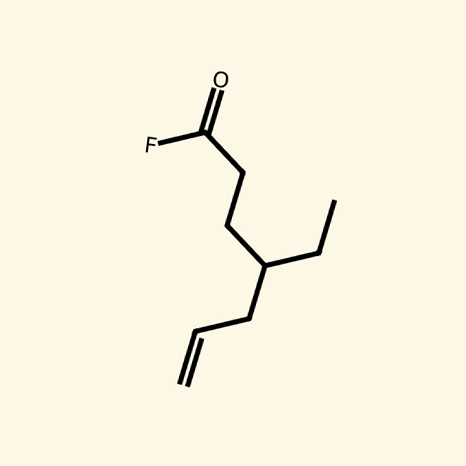 C=CCC(CC)CCC(=O)F